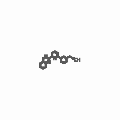 C#CCc1cccc(-c2cccc(-c3ncc4ccccc4n3)n2)c1